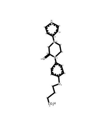 O=C(O)CCCOc1ccc(N2CCN(c3ccncc3)CC2=O)cc1